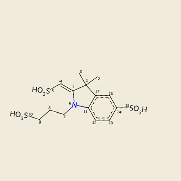 CC1(C)/C(=C/S(=O)(=O)O)N(CCCS(=O)(=O)O)c2ccc(S(=O)(=O)O)cc21